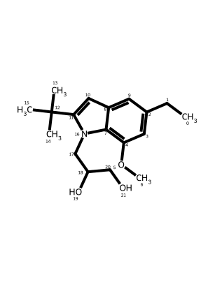 CCc1cc(OC)c2c(c1)cc(C(C)(C)C)n2CC(O)CO